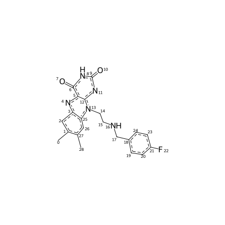 Cc1cc2nc3c(=O)[nH]c(=O)nc-3n(CCNCc3ccc(F)cc3)c2cc1C